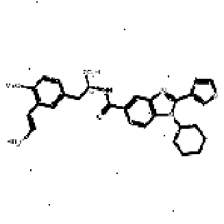 COc1ccc(C[C@H](NC(=O)c2ccc3c(c2)nc(-c2ccoc2)n3C2CCCCC2)C(=O)O)cc1C=CC(=O)O